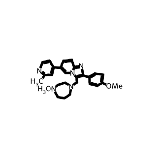 COc1ccc(-c2nc3ccc(-c4ccnc(C)c4)cn3c2CN2CCCN(C)CC2)cc1